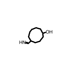 N=CC1CCCCCC(O)CCC1